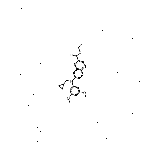 CCOC(=O)c1cnc2ccc(N(CC3CC3)c3cc(OC)cc(OC)c3)cc2n1